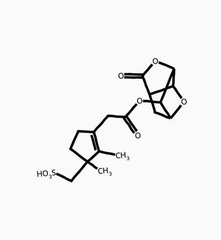 CC1=C(CC(=O)OC2C3CC4C(=O)OC2C4O3)CCC1(C)CS(=O)(=O)O